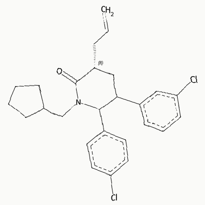 C=CC[C@@H]1CC(c2cccc(Cl)c2)C(c2ccc(Cl)cc2)N(CC2CCCC2)C1=O